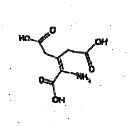 NC(C(=O)O)=C(CC(=O)O)CC(=O)O